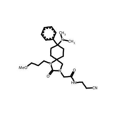 COCCCN1C(=O)N(CC(=O)NCCC#N)CC12CCC(c1ccccc1)(N(C)C)CC2